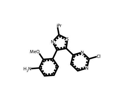 COc1c(N)cccc1-c1nc(C(C)C)sc1-c1ccnc(Cl)n1